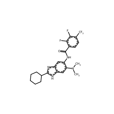 CN(C)c1cc2[nH]c(C3CCCCC3)nc2cc1NC(=O)c1ccc(C(F)(F)F)c(F)c1F